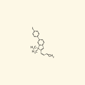 C=C/C=C\C1=Cc2ccc(-c3ccc(I)cc3)cc2C1(C)C